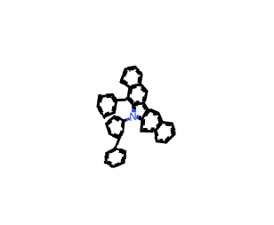 c1ccc(-c2cccc(-n3c4cc5ccccc5cc4c4cc5ccccc5c(-c5ccccc5)c43)c2)cc1